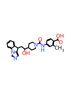 Cc1cc(NC(=O)N2CCC(C(O)CC3c4ccccc4-n4cncc43)CC2)ccc1C(=O)O